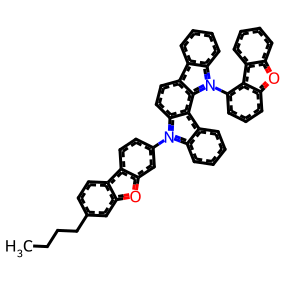 CCCCc1ccc2c(c1)oc1cc(-n3c4ccccc4c4c3ccc3c5ccccc5n(-c5cccc6oc7ccccc7c56)c34)ccc12